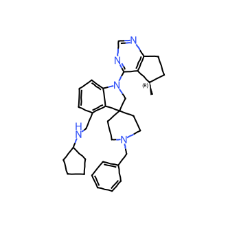 C[C@@H]1CCc2ncnc(N3CC4(CCN(Cc5ccccc5)CC4)c4c(CNC5CCCC5)cccc43)c21